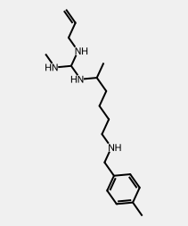 C=CCNC(NC)NC(C)CCCCNCc1ccc(C)cc1